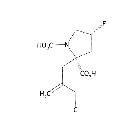 C=C(CCl)C[C@]1(C(=O)O)C[C@@H](F)CN1C(=O)O